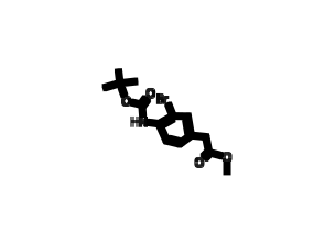 COC(=O)Cc1ccc(NC(=O)OC(C)(C)C)c(Br)c1